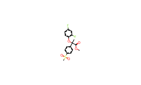 COC(=O)C(C)(Oc1ccc(F)cc1F)c1ccc(S(C)(=O)=O)cc1